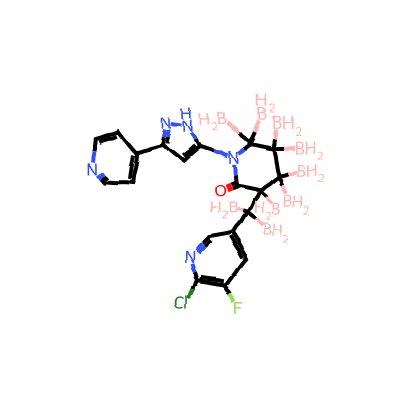 BC(B)(c1cnc(Cl)c(F)c1)C1(B)C(=O)N(c2cc(-c3ccncc3)n[nH]2)C(B)(B)C(B)(B)C1(B)B